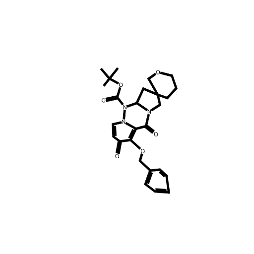 CC(C)(C)OC(=O)N1C2CC3(CCCOC3)CN2C(=O)c2c(OCc3ccccc3)c(=O)ccn21